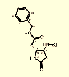 O=C1C[C@H](NCl)[C@@H](CC(=O)OCc2ccccc2)N1